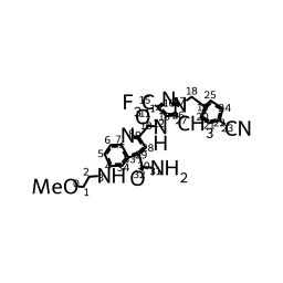 COCCNc1ccc2nc(C(=O)Nc3c(C(F)(F)F)nn(Cc4ccc(C#N)cc4)c3C)cc(C(N)=O)c2c1